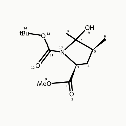 COC(=O)[C@@H]1C[C@H](C)C(C)(O)N1C(=O)OC(C)(C)C